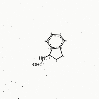 O=[C]NC1CCc2ccccc21